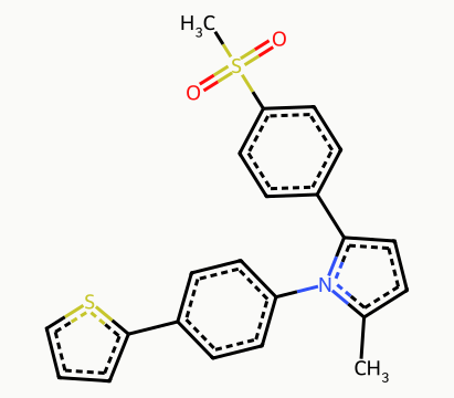 Cc1ccc(-c2ccc(S(C)(=O)=O)cc2)n1-c1ccc(-c2cccs2)cc1